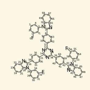 Fc1cccc(-n2c(-c3ccc(-c4nc(-c5ccc(-c6nc7ccccc7n6-c6cccc(F)c6)cc5)nc(-c5ccc(-c6nc7ccccc7n6-c6cccc(F)c6)cc5)n4)cc3)nc3ccccc32)c1